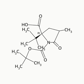 CC1C[C@](C(=O)O)(C(C)(C)C)N(C(=O)OC(C)(C)C)C1=O